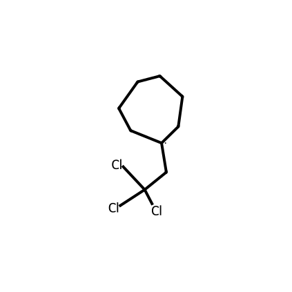 ClC(Cl)(Cl)C[C]1CCCCCC1